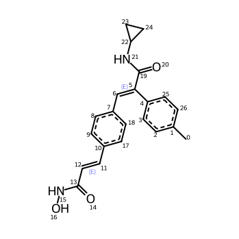 Cc1ccc(/C(=C\c2ccc(/C=C/C(=O)NO)cc2)C(=O)NC2CC2)cc1